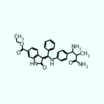 CCOC(=O)c1ccc2c(c1)NC(=O)/C2=C(\Nc1ccc(C(N)C(C)C(N)=O)cc1)c1ccccc1